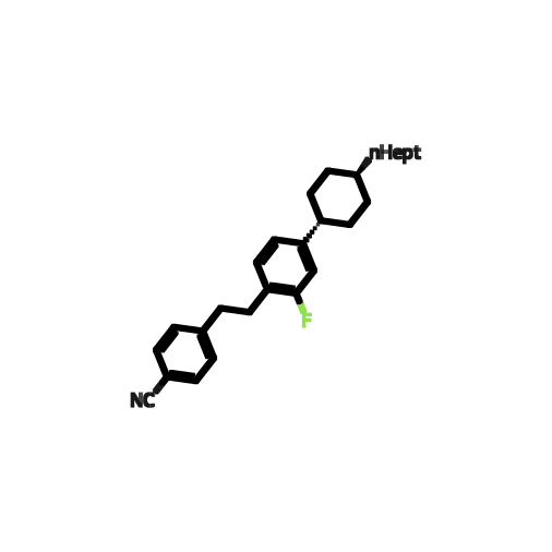 CCCCCCC[C@H]1CC[C@H](c2ccc(CCc3ccc(C#N)cc3)c(F)c2)CC1